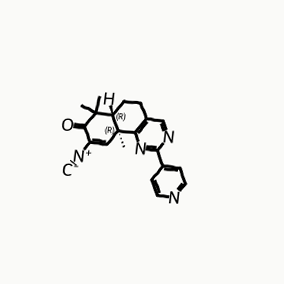 [C-]#[N+]C1=C[C@]2(C)c3nc(-c4ccncc4)ncc3CC[C@H]2C(C)(C)C1=O